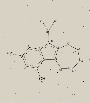 Oc1cc(F)cc2c1c1c(n2C2CC2)CCCCC1